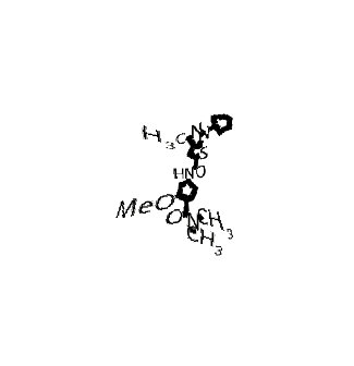 COc1cc(NC(=O)c2cc3c(C)nn(-c4ccccc4)c3s2)ccc1C(=O)N(C)C